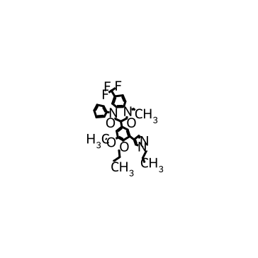 CCCCOc1c(OC)cc(C2C(=O)N(CC)c3ccc(C(F)(F)F)cc3N(c3ccccc3)C2=O)cc1-c1cnn(CCC)c1